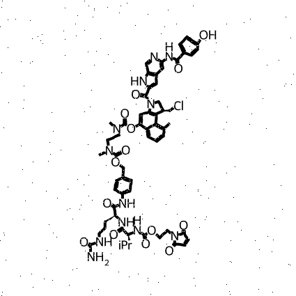 Cc1cccc2c(OC(=O)N(C)CCN(C)C(=O)OCc3ccc(NC(=O)[C@H](CCCNC(N)=O)NC(=O)[C@@H](NC(=O)OCCN4C(=O)C=CC4=O)C(C)C)cc3)cc3c(c12)[C@H](CCl)CN3C(=O)c1cc2cc(NC(=O)c3ccc(O)cc3)ncc2[nH]1